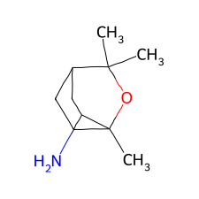 CC1(C)OC2(C)CCC1CC2N